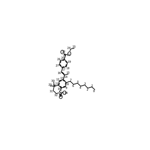 CCCCCCCCc1cc2c(cc1/C(C)=C/c1ccc(C(=O)OCC)cc1)C(C)(C)CCS2(=O)=O